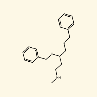 CNCCC(COCc1ccccc1)OCc1ccccc1